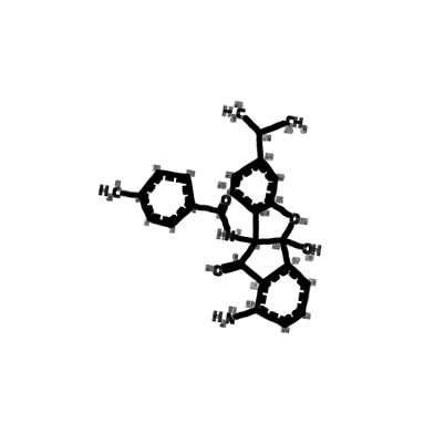 Cc1ccc(C(=O)NC23C(=O)c4c(N)cccc4C2(O)Oc2cc(C(C)C)ccc23)cc1